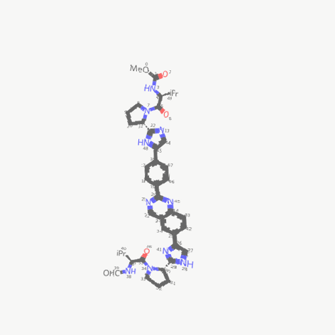 COC(=O)N[C@H](C(=O)N1CCC[C@H]1c1ncc(-c2ccc(-c3ncc4cc(-c5c[nH]c([C@@H]6CCCN6C(=O)[C@@H](NC=O)C(C)C)n5)ccc4n3)cc2)[nH]1)C(C)C